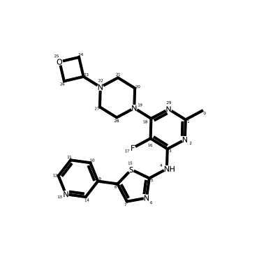 Cc1nc(Nc2ncc(-c3cccnc3)s2)c(F)c(N2CCN(C3COC3)CC2)n1